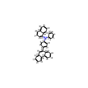 c1ccc(N(c2ccc(-c3cc4ccccc4c4ccccc34)cc2)c2cccc3ccccc23)cc1